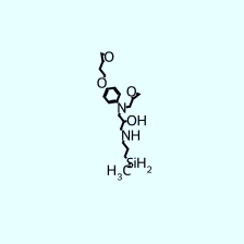 C[SiH2]CCCNCC(O)CN(CC1CO1)c1ccc(OCCC2CO2)cc1